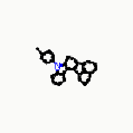 Cc1ccc(-n2c3ccccc3c3c4c(ccc32)-c2cccc3cccc-4c23)cc1